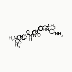 CC(Cc1ccc(-n2ccc(NC(=O)N3CCN(C(=O)C(C)(C)N)CC3)nc2=O)cc1)N[C@H]1CC[C@@H](N)CC1